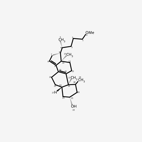 COCCC[C@@H](C)[C@H]1CC=C2C3=C(CC[C@@]21C)[C@@]1(C)C(C)C[C@H](O)C[C@@H]1CC3